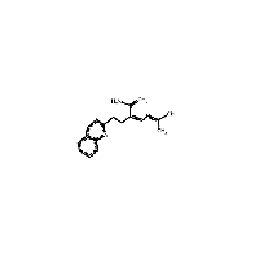 C=C(N)/C(=C\N=C(C)C)CCc1ccc2ccccc2n1